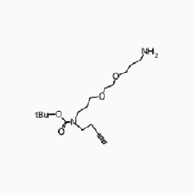 C#CCCN(CCCOCCOCCCN)C(=O)OC(C)(C)C